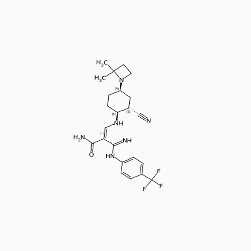 CC1(C)CCN1[C@@H]1CC[C@H](N/C=C(\C(=N)Nc2ccc(C(F)(F)F)cc2)C(N)=O)[C@@H](C#N)C1